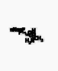 CCCCCCCCCC(F)(F)CCC[C@H](O)C[C@H](O)[C@H](C)N